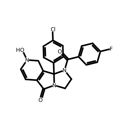 O=C1C2=C(CN(O)C=C2)C2(c3ccc(Cl)cc3)N1CCN2C(=O)c1ccc(F)cc1